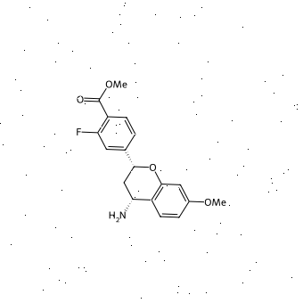 COC(=O)c1ccc([C@H]2C[C@@H](N)c3ccc(OC)cc3O2)cc1F